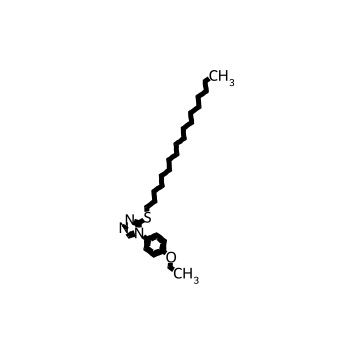 CCCCCCCCCCCCCCCCCCSc1nncn1-c1ccc(OCC)cc1